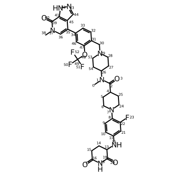 CN(C(=O)C1CCN(c2ccc(NC3CCC(=O)NC3=O)cc2F)CC1)C1CCN(Cc2ccc(-c3cn(C)c(=O)c4[nH]ncc34)cc2OC(F)(F)F)CC1